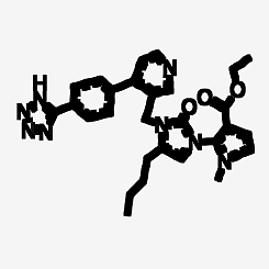 CCCCc1cn(-c2c(C(=O)OCC)ccn2C)c(=O)n1Cc1cnccc1-c1ccc(-c2nnn[nH]2)cc1